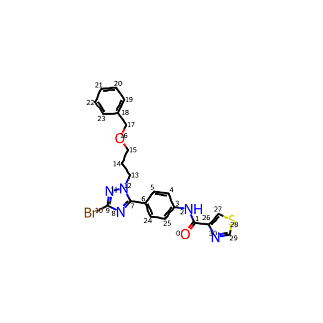 O=C(Nc1ccc(-c2nc(Br)nn2CCCOCc2ccccc2)cc1)c1cscn1